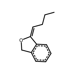 CCC/C=C1/OCc2ccccc21